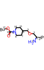 CC(C)[C@@H](N)COCC1CCN(C(=O)OC(C)(C)C)CC1